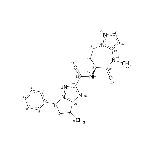 CC1CC(c2ccccc2)n2nc(C(=O)N[C@H]3CCn4nccc4N(C)C3=O)nc21